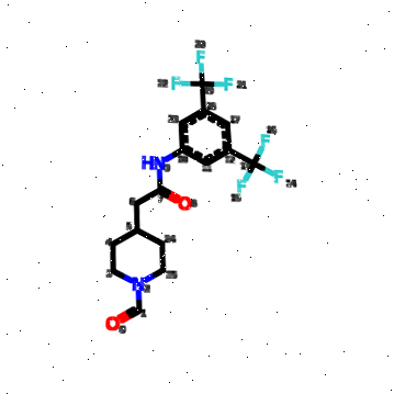 O=CN1CCC(CC(=O)Nc2cc(C(F)(F)F)cc(C(F)(F)F)c2)CC1